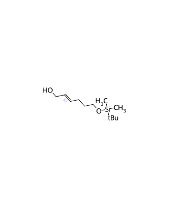 CC(C)(C)[Si](C)(C)OCCC/C=C/CO